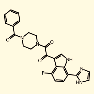 O=C(C(=O)N1CCN(C(=O)c2ccccc2)CC1)c1c[nH]c2c(-c3ncc[nH]3)ccc(F)c12